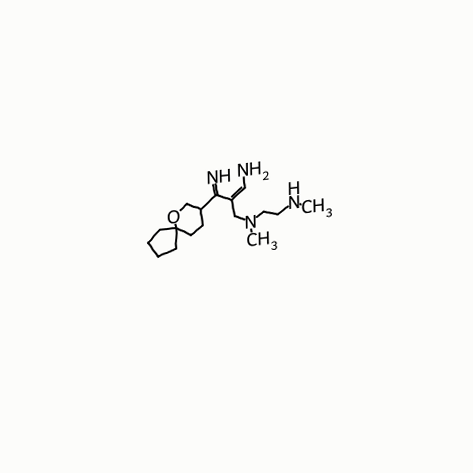 CNCCN(C)C/C(=C/N)C(=N)C1CCC2(CCCC2)OC1